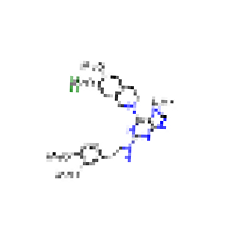 CNn1cnc2nc(NCCc3ccc(OC)c(OC)c3)nc(N3CCc4cc(OC)c(OC)cc4C3)c21.Cl